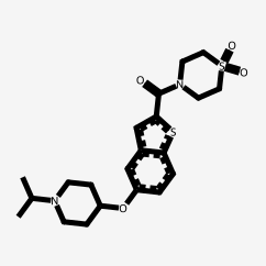 CC(C)N1CCC(Oc2ccc3sc(C(=O)N4CCS(=O)(=O)CC4)cc3c2)CC1